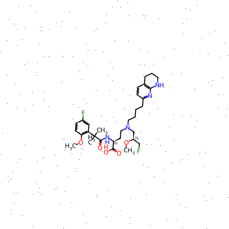 COc1ccc(F)cc1C(C)(C)C(=O)N[C@@H](CCN(CCCCc1ccc2c(n1)NCCC2)C[C@@H](CF)OC)C(=O)O